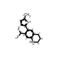 Cc1ccc(-c2cc3c(cc2C(F)F)NCCC3)s1